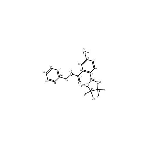 CC1(C)OB(c2ccc(O)cc2C(=O)OCc2ccccc2)OC1(C)C